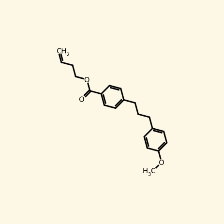 C=CCCOC(=O)c1ccc(CCCc2ccc(OC)cc2)cc1